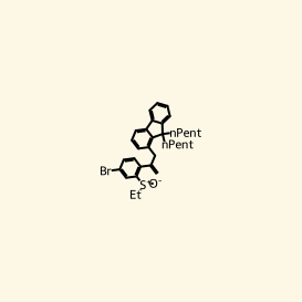 C=C(Cc1cccc2c1C(CCCCC)(CCCCC)c1ccccc1-2)c1ccc(Br)cc1[S+]([O-])CC